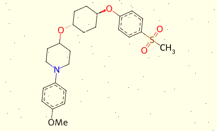 COc1ccc(N2CCC(O[C@H]3CC[C@H](Oc4ccc(S(C)(=O)=O)cc4)CC3)CC2)cc1